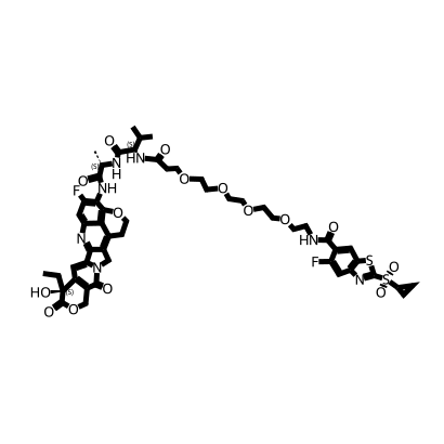 CC[C@@]1(O)C(=O)OCc2c1cc1n(c2=O)Cc2c-1nc1cc(F)c(NC(=O)[C@H](C)NC(=O)[C@@H](NC(=O)CCOCCOCCOCCOCCNC(=O)c3cc4sc(S(=O)(=O)C5CC5)nc4cc3F)C(C)C)c3c1c2CCO3